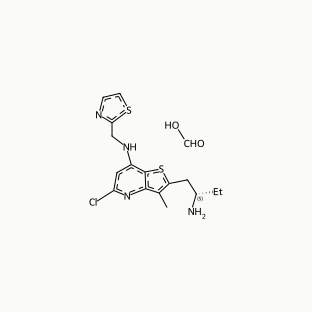 CC[C@H](N)Cc1sc2c(NCc3nccs3)cc(Cl)nc2c1C.O=CO